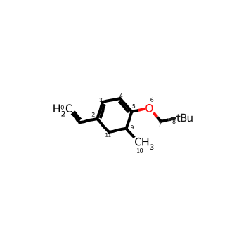 C=CC1=CC=C(OCC(C)(C)C)C(C)C1